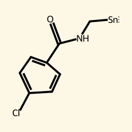 O=C(N[CH2][Sn])c1ccc(Cl)cc1